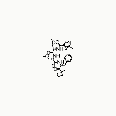 COC[C@H](NC(=O)c1cnc(C)s1)C(=O)N[C@@H](COC)C(=O)N[C@@H](Cc1ccccc1)C(=O)C1(C)CO1